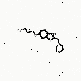 NCCCOc1ccc2[nH]c(CN3CCCCC3)nc2c1